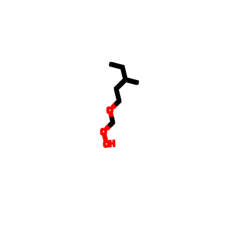 CCC(C)CCOCOO